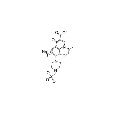 CN1COc2c(N3CCN(CS(=O)(=O)[O-])CC3)c(F)cc3c(=O)c(C(=O)[O-])cn1c23.[Na+].[Na+]